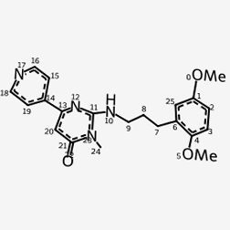 COc1ccc(OC)c(CCCNc2nc(-c3ccncc3)cc(=O)n2C)c1